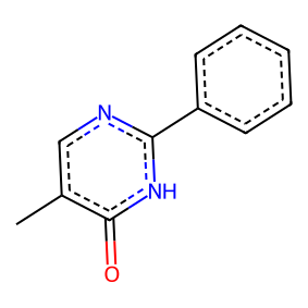 Cc1cnc(-c2ccccc2)[nH]c1=O